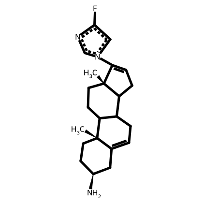 C[C@]12CC[C@H](N)CC1=CCC1C2CC[C@]2(C)C(n3cnc(F)c3)=CCC12